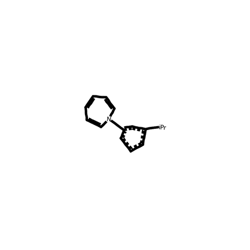 CC(C)c1cccc(N2C=CC=CC=C2)c1